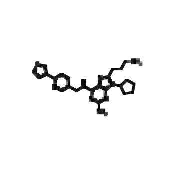 NCCCc1nc2c(NCc3ccc(-c4ccsc4)nc3)nc(N)nc2n1C1CCCC1